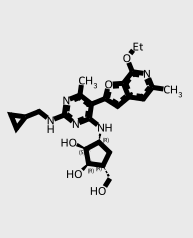 CCOc1nc(C)cc2cc(-c3c(C)nc(NCC4CC4)nc3N[C@@H]3C[C@H](CO)[C@@H](O)[C@H]3O)oc12